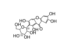 O=c1c2cc(O)c(O)cc2oc2cc(O)c([C@@H]3OC(CO)[C@@H](O)C(O)C3O)c(O)c12